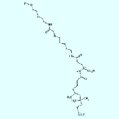 CCOCCOCCNC(=O)COCCOCCNC(=O)CC[C@H](NC(=O)CCCC(C)CC(C)(C)CCC(=O)O)C(=O)O